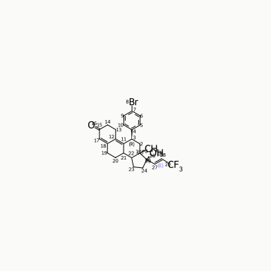 C[C@]12C[C@H](c3ccc(Br)cc3)C3=C4CCC(=O)C=C4CCC3C1CC[C@@]2(O)/C=C/C(F)(F)F